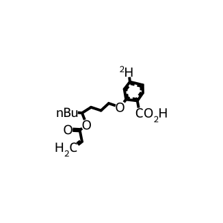 [2H]c1ccc(C(=O)O)c(OCCCC(CCCC)OC(=O)C=C)c1